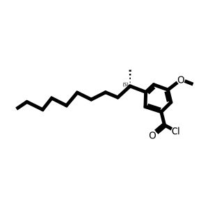 CCCCCCCCC[C@H](C)c1cc(OC)cc(C(=O)Cl)c1